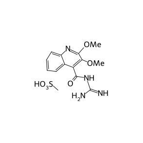 COc1nc2ccccc2c(C(=O)NC(=N)N)c1OC.CS(=O)(=O)O